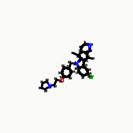 Cc1c2cnccc2c(C)c2c1c1cc(Br)ccc1n2Cc1ccc(OCCN2CCCC2)cc1